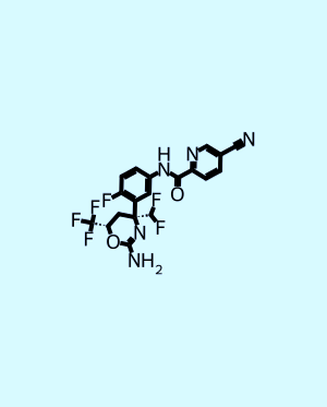 N#Cc1ccc(C(=O)Nc2ccc(F)c([C@]3(C(F)F)C[C@@H](C(F)(F)F)OC(N)=N3)c2)nc1